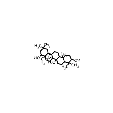 CC1(C)CC2=C3CCC4C5(C)CCC(O)C(C)(C)C5CCC4(C)C3(C)CCC2(C)C(O)C1